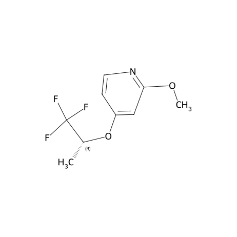 COc1cc(O[C@H](C)C(F)(F)F)ccn1